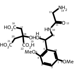 COc1ccc(OC)c(C(O)CNC(=O)CN)c1.O=C(O)CC(O)(CC(=O)O)C(=O)O